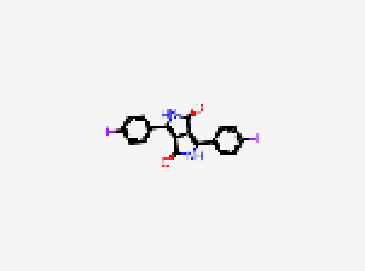 O=C1NC(c2ccc(I)cc2)=C2C(=O)NC(c3ccc(I)cc3)=C12